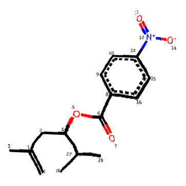 C=C(C)CC(OC(=O)c1ccc([N+](=O)[O-])cc1)C(C)C